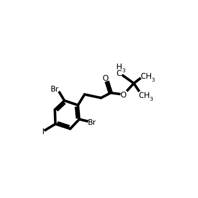 CC(C)(C)OC(=O)CCc1c(Br)cc(I)cc1Br